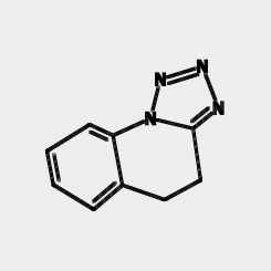 c1ccc2c(c1)CCc1nnnn1-2